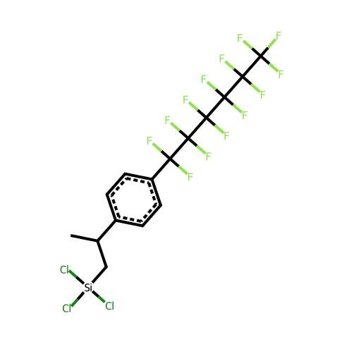 CC(C[Si](Cl)(Cl)Cl)c1ccc(C(F)(F)C(F)(F)C(F)(F)C(F)(F)C(F)(F)C(F)(F)F)cc1